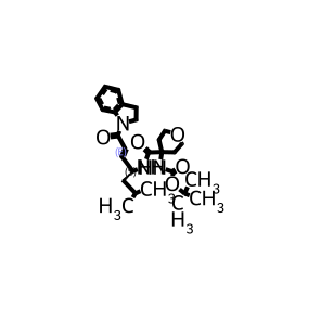 CC(C)C[C@@H](/C=C/C(=O)N1CCc2ccccc21)NC(=O)C1(NC(=O)OC(C)(C)C)CCOCC1